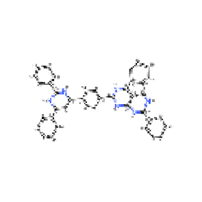 c1ccc(-c2cc(-c3ccc(-c4nc5c6c(nc(-c7ccccc7)nc6n4)-c4ccccc4-5)cc3)nc(-c3ccccc3)n2)cc1